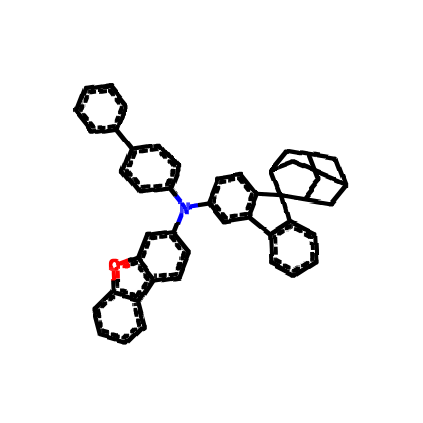 c1ccc(-c2ccc(N(c3ccc4c(c3)-c3ccccc3C43C4CC5CC(C4)CC3C5)c3ccc4c(c3)oc3ccccc34)cc2)cc1